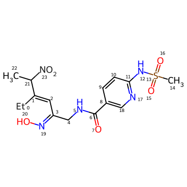 CC/C(=C\C(CNC(=O)c1ccc(NS(C)(=O)=O)nc1)=N/O)C(C)[N+](=O)[O-]